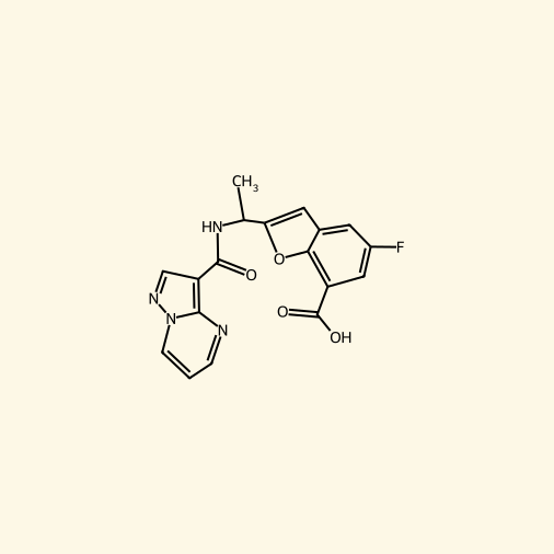 CC(NC(=O)c1cnn2cccnc12)c1cc2cc(F)cc(C(=O)O)c2o1